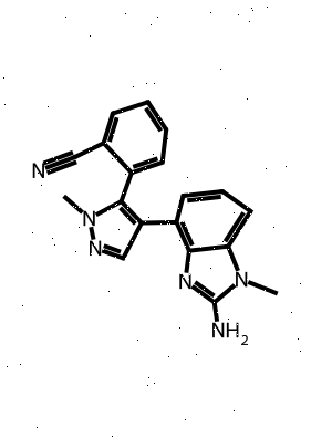 Cn1ncc(-c2cccc3c2nc(N)n3C)c1-c1ccccc1C#N